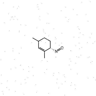 CC1=CC(C)CC[C@@H]1N=O